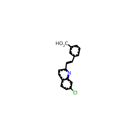 O=C(O)c1cccc(C=Cc2ccc3ccc(Cl)cc3n2)c1